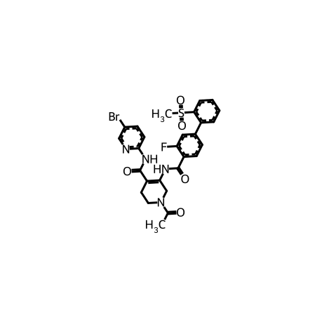 CC(=O)N1CCC(C(=O)Nc2ccc(Br)cn2)=C(NC(=O)c2ccc(-c3ccccc3S(C)(=O)=O)cc2F)C1